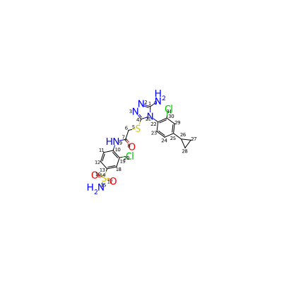 Nc1nnc(SCC(=O)Nc2ccc(S(N)(=O)=O)cc2Cl)n1-c1ccc(C2CC2)cc1Cl